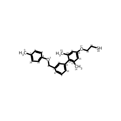 Cc1ccc(OCc2cccc(-c3c(C)cc(OCCS)cc3C)c2)cc1